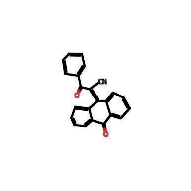 N#CC(C(=O)c1ccccc1)=C1c2ccccc2C(=O)c2ccccc21